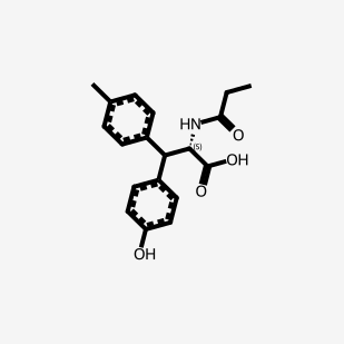 CCC(=O)N[C@H](C(=O)O)C(c1ccc(C)cc1)c1ccc(O)cc1